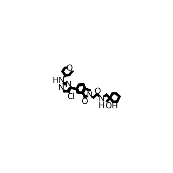 O=C(CN1Cc2ccc(-c3nc(NC4CCOCC4)ncc3Cl)cc2C1=O)NCC1(CO)CCCCC1